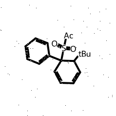 CC(=O)S(=O)(=O)C1(c2ccccc2)C=CC=CC1C(C)(C)C